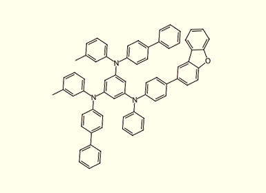 Cc1cccc(N(c2ccc(-c3ccccc3)cc2)c2cc(N(c3ccccc3)c3ccc(-c4ccc5oc6ccccc6c5c4)cc3)cc(N(c3ccc(-c4ccccc4)cc3)c3cccc(C)c3)c2)c1